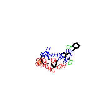 CN1NNN=C1CC(CO)(OC[C@H]1O[C@@H](n2ncc3c(NCc4ccccc4Cl)nc(Cl)nc32)[C@H](O)[C@@H]1O)P(=O)(O)O